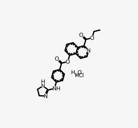 CCOC(=O)c1nccc2c(OC(=O)c3ccc(NC4=NCCN4)cc3)cccc12.Cl.O